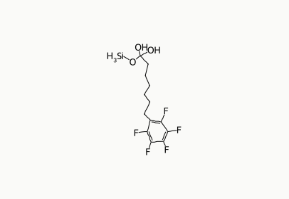 OC(O)(CCCCCCc1c(F)c(F)c(F)c(F)c1F)O[SiH3]